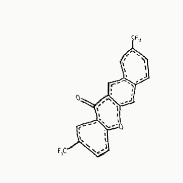 O=c1c2cc(C(F)(F)F)ccc2oc2cc3ccc(C(F)(F)F)cc3cc12